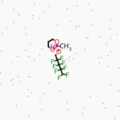 C[PH]1(OCC(F)(F)C(F)(F)C(F)(F)C(F)F)OCCCO1